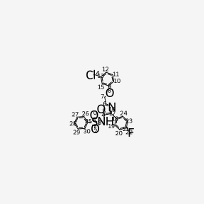 O=S(=O)(Nc1oc(COc2cccc(Cl)c2)nc1-c1ccc(F)cc1)c1ccccc1